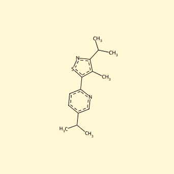 Cc1c(C(C)C)nsc1-c1ccc(C(C)C)cn1